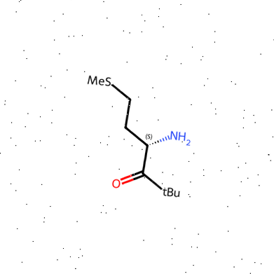 CSCC[C@H](N)C(=O)C(C)(C)C